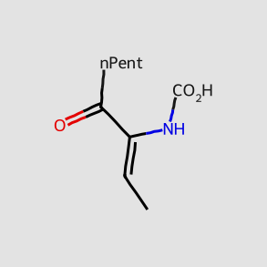 C/C=C(\NC(=O)O)C(=O)CCCCC